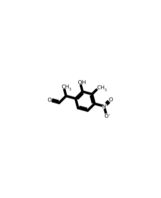 Cc1c([N+](=O)[O-])ccc(C(C)C=O)c1O